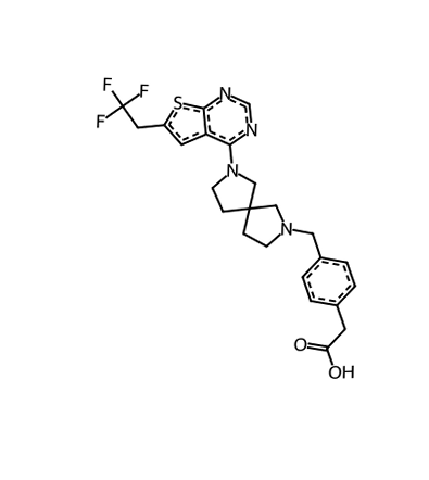 O=C(O)Cc1ccc(CN2CCC3(CCN(c4ncnc5sc(CC(F)(F)F)cc45)C3)C2)cc1